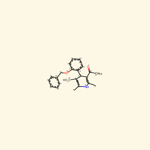 COC(=O)C1=C(C)NC(C)=C(C(=O)O)C1c1ccccc1OCc1ccccc1